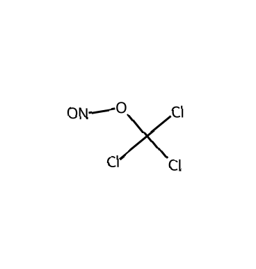 O=NOC(Cl)(Cl)Cl